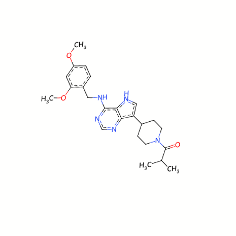 COc1ccc(CNc2ncnc3c(C4CCN(C(=O)C(C)C)CC4)c[nH]c23)c(OC)c1